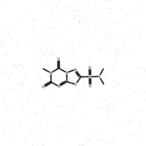 CN(C)S(=O)(=O)c1nn2c(=O)n(C)c(=O)nc2s1